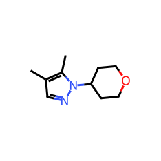 Cc1cnn(C2CCOCC2)c1C